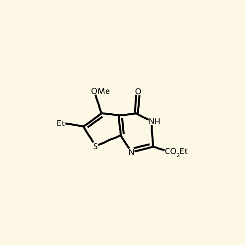 CCOC(=O)c1nc2sc(CC)c(OC)c2c(=O)[nH]1